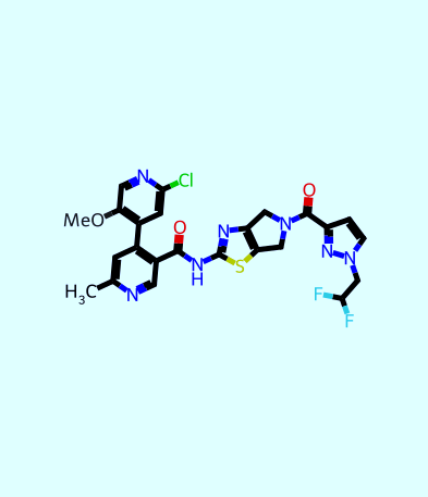 COc1cnc(Cl)cc1-c1cc(C)ncc1C(=O)Nc1nc2c(s1)CN(C(=O)c1ccn(CC(F)F)n1)C2